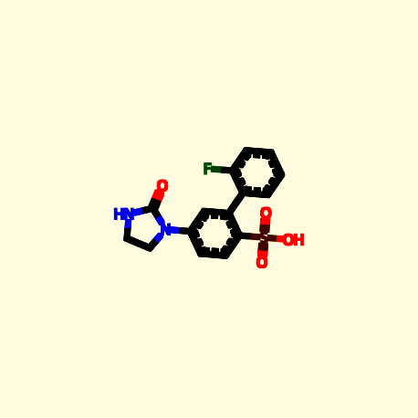 O=C1NCCN1c1ccc(S(=O)(=O)O)c(-c2ccccc2F)c1